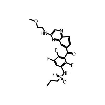 CCCS(=O)(=O)Nc1cc(F)c(F)c(C(=O)c2ccc3ncc(NCCOC)nc3c2)c1F